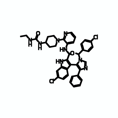 CCNC(=O)NC1CCN(c2ncccc2NC(=O)c2[nH]c3cc(Cl)ccc3c2-c2c(-c3ccccc3)ncn2C(C)c2ccc(Cl)cc2)CC1